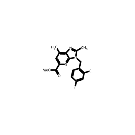 COC(=O)c1cc(C)c2nc(C)n(Cc3ccc(I)cc3Cl)c2n1